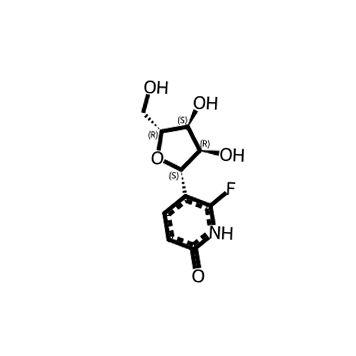 O=c1ccc([C@@H]2O[C@H](CO)[C@@H](O)[C@H]2O)c(F)[nH]1